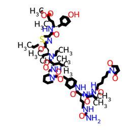 CCCO[C@H](C[C@H](C(C)C)N(CCC)C(=O)[C@@H](NC(=O)[C@H]1CCCCN1C(=O)OCc1ccc(NC(=O)[C@H](CCCNC(N)=O)NC(=O)[C@@H](NC(=O)CCCCCN2C(=O)C=CC2=O)C(C)C)cc1)[C@@H](C)CC)C1=NC(C(=O)N[C@@H](Cc2ccc(O)cc2)C[C@H](C)C(=O)OC)CS1